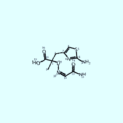 CC(Cc1csc(N)n1)(O/N=C\C([NH])=O)C(=O)O